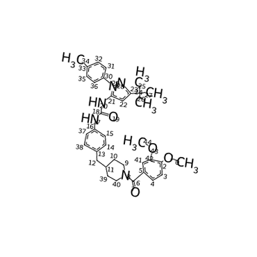 COc1ccc(C(=O)N2CCC(Cc3ccc(NC(=O)Nc4cc(C(C)(C)C)nn4-c4ccc(C)cc4)cc3)CC2)cc1OC